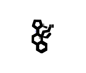 CC[C@@]1(CCS)/C(=C2/CCC[C@@H]2C)CCc2ccccc21